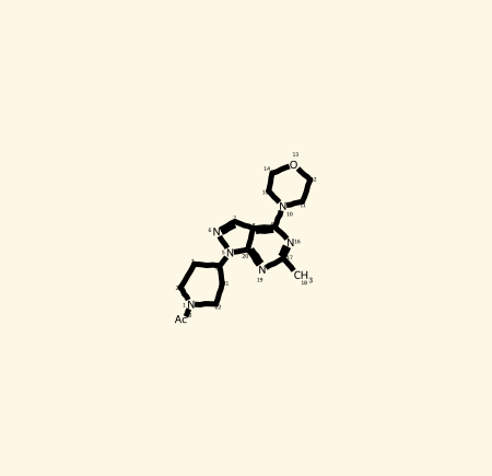 CC(=O)N1CCC(n2ncc3c(N4CCOCC4)nc(C)nc32)CC1